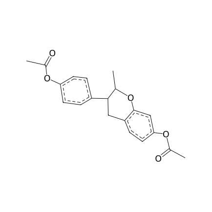 CC(=O)Oc1ccc(C2Cc3ccc(OC(C)=O)cc3OC2C)cc1